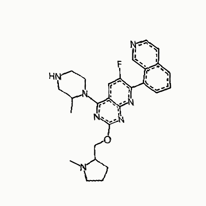 CC1CNCCN1c1nc(OCC2CCCN2C)nc2nc(-c3cccc4ccncc34)c(F)cc12